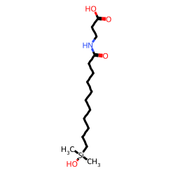 C[Si](C)(O)CCCCCCCCCCC(=O)NCCC(=O)O